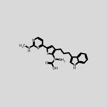 CNc1nccc(-c2cc(CCCc3c[nH]c4ccccc34)c(N(N)C(=O)O)s2)n1